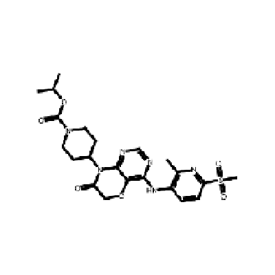 Cc1nc(S(C)(=O)=O)ccc1Nc1ncnc2c1OCC(=O)N2C1CCN(C(=O)OC(C)C)CC1